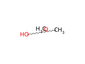 CCCCCCC(CCCCCCCCCCCO)OC